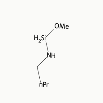 CCCCN[SiH2]OC